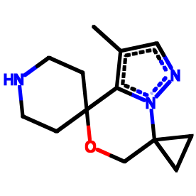 Cc1cnn2c1C1(CCNCC1)OCC21CC1